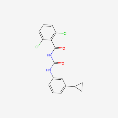 O=C(NC(=O)c1c(Cl)cccc1Cl)Nc1cccc(C2CC2)c1